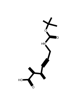 C=C(C#CCNC(=O)OC(C)(C)C)C(=C)C(=O)O